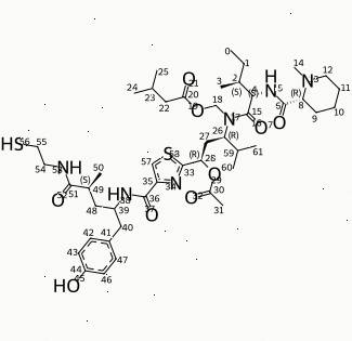 CC[C@H](C)[C@H](NC(=O)[C@H]1CCCCN1C)C(=O)N(COC(=O)CC(C)C)[C@H](C[C@@H](OC(C)=O)c1nc(C(=O)NC(Cc2ccc(O)cc2)C[C@H](C)C(=O)NCCS)cs1)C(C)C